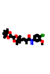 COc1cc(NC(=O)/C(C)=C/CC2(C)OB(B3OC(C)(C)C(C)(C)O3)OC2(C)C)ccc1Br